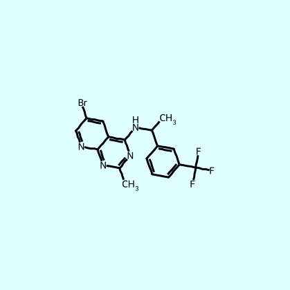 Cc1nc(NC(C)c2cccc(C(F)(F)F)c2)c2cc(Br)cnc2n1